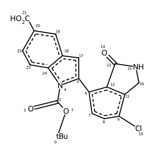 CC(C)(C)OC(=O)n1c(-c2ccc(Cl)c3c2C(=O)NC3)cc2cc(C(=O)O)ccc21